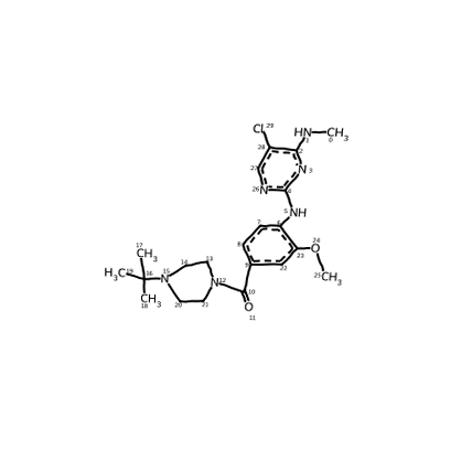 CNc1nc(Nc2ccc(C(=O)N3CCN(C(C)(C)C)CC3)cc2OC)ncc1Cl